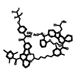 CCCCC(CC)Cn1c2ccc(/C(=N/OC(C)=O)c3ccccc3OCCC(F)(F)F)cc2c2cc(C(=O)c3c(C)cc(CCCCCC(CC)Cn4c5ccc(C(=O)/C(=N/OC(C)=O)c6ccc(OCC(F)(F)C(F)F)cc6)cc5c5cc(C(=O)c6c(C)cc(C)cc6C)c6ccccc6c54)cc3C)c3ccccc3c21